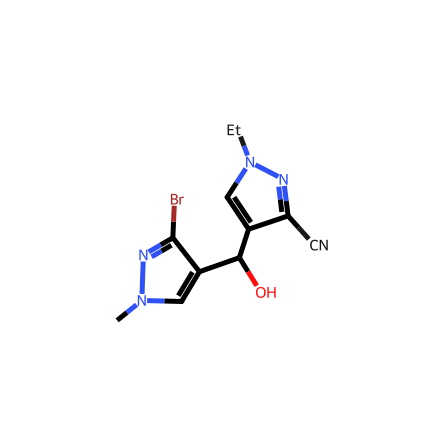 CCn1cc(C(O)c2cn(C)nc2Br)c(C#N)n1